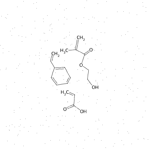 C=C(C)C(=O)OCCO.C=CC(=O)O.C=Cc1ccccc1